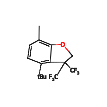 Cc1ccc(C(C)(C)C)c2c1OCC2(C(F)(F)F)C(F)(F)F